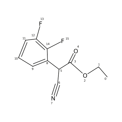 CCOC(=O)C(C#N)c1cccc(F)c1F